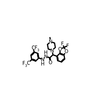 CN1CCN(C(C(=O)NNc2cc(C(F)(F)F)cc(C(F)(F)F)c2)c2cccc3c2OC(F)(F)O3)CC1